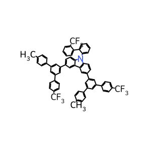 Cc1ccc(-c2cc(-c3ccc(C(F)(F)F)cc3)cc(-c3ccc4c(c3)c3cc(-c5cc(-c6ccc(C)cc6)cc(-c6ccc(C(F)(F)F)cc6)c5)ccc3n4-c3ccccc3-c3ccccc3C(F)(F)F)c2)cc1